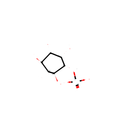 O=[As](O)(O)O[C@@H]1[C@@H](O)[C@H](O)[C@@H](O)[C@H](O)[C@@H]1O